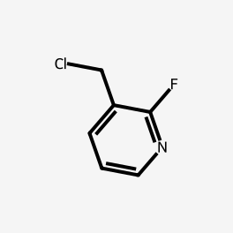 Fc1ncccc1CCl